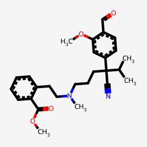 COC(=O)c1ccccc1CCN(C)CCCC(C#N)(c1ccc(C=O)c(OC)c1)C(C)C